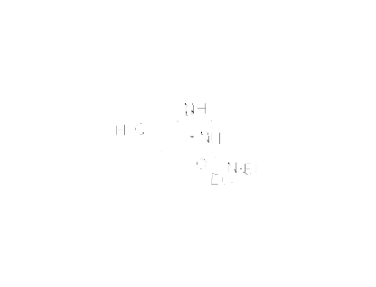 CCN(CC)CC(=O)Nc1ccc(C)cc1N